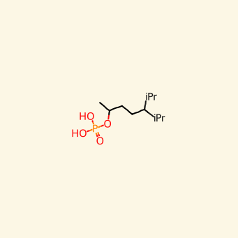 CC(CCC(C(C)C)C(C)C)OP(=O)(O)O